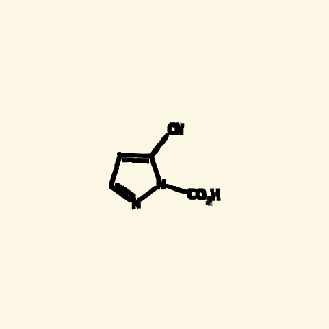 N#Cc1ccnn1C(=O)O